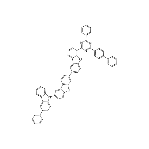 c1ccc(-c2ccc(-c3nc(-c4ccccc4)nc(-c4cccc5c4oc4ccc(-c6ccc7c(c6)oc6ccc(-n8c9ccccc9c9cc(-c%10ccccc%10)ccc98)cc67)cc45)n3)cc2)cc1